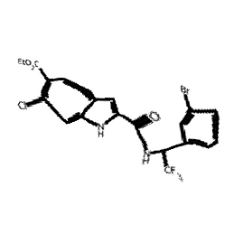 CCOC(=O)c1cc2cc(C(=O)NC(c3cccc(Br)c3)C(F)(F)F)[nH]c2cc1Cl